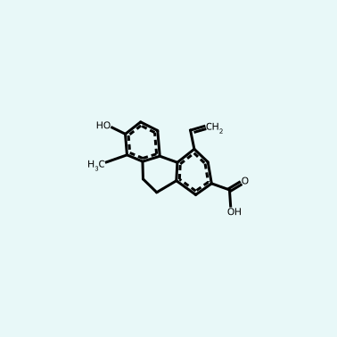 C=Cc1cc(C(=O)O)cc2c1-c1ccc(O)c(C)c1CC2